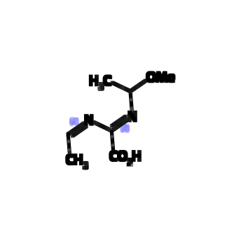 C/C=N\C(=N/C(C)OC)C(=O)O